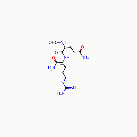 N=C(N)NCCC[C@H](NC(=O)[C@H](CCC(N)=O)NC=O)C(N)=O